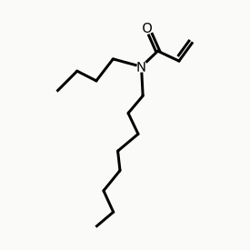 C=CC(=O)N(CCCC)CCCCCCCC